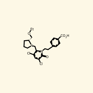 CCOC[C@H]1CCCN1Cc1c(Cl)cc(Cl)c(=O)n1CCc1ccc(C(=O)O)cc1